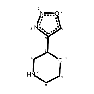 c1onnc1C1CNCCO1